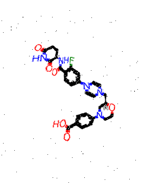 O=C1CC[C@H](NC(=O)c2ccc(N3C=CN(C[C@@H]4CN(c5ccc(C(=O)O)cc5)CCO4)C=C3)cc2F)C(=O)N1